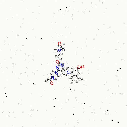 C=CC(=O)N1CCN(c2nc(OCCCN3CC4OC[C@H]43)nc3c2CCN(c2cc(O)cc4c(C)cccc24)C3)CC1